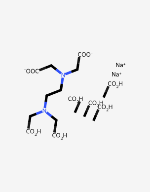 CC(=O)O.CC(=O)O.CC(=O)O.CC(=O)O.O=C([O-])CN(CCN(CC(=O)O)CC(=O)O)CC(=O)[O-].[Na+].[Na+]